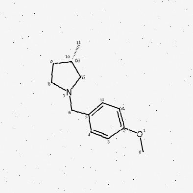 COc1ccc(CN2CC[C@H](C)C2)cc1